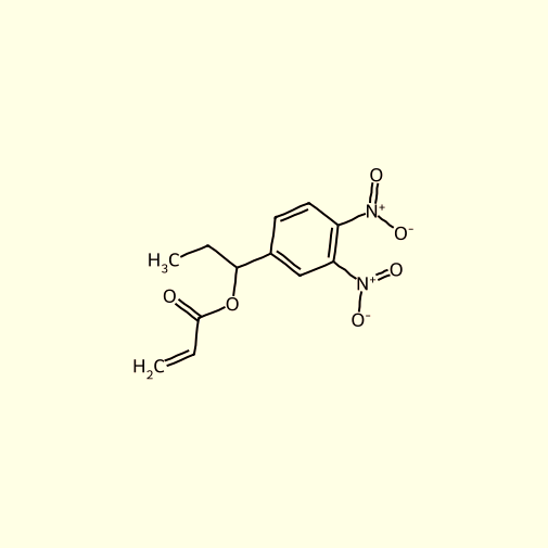 C=CC(=O)OC(CC)c1ccc([N+](=O)[O-])c([N+](=O)[O-])c1